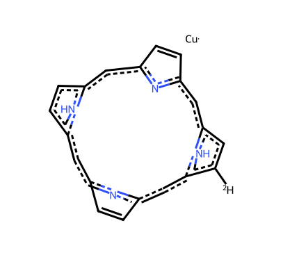 [2H]c1cc2cc3nc(cc4ccc(cc5nc(cc1[nH]2)C=C5)[nH]4)C=C3.[Cu]